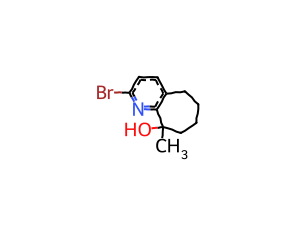 CC1(O)CCCCc2ccc(Br)nc21